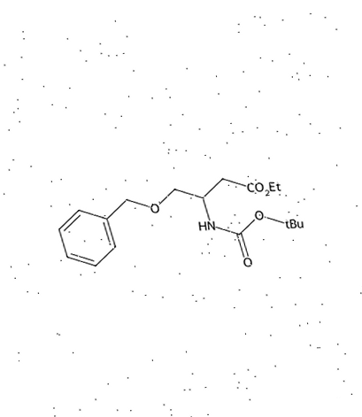 CCOC(=O)CC(COCc1ccccc1)NC(=O)OC(C)(C)C